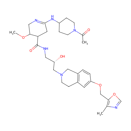 COC1CN=C(NC2CCN(C(C)=O)CC2)CC1C(=O)NC[C@H](O)CN1CCc2cc(OCc3ocnc3C)ccc2C1